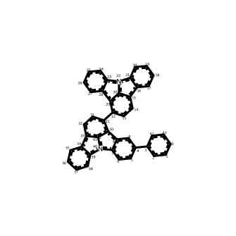 c1ccc(-c2ccc3c(c2)c2c(-c4ccc5c6ccccc6n6c7ccccc7c4c56)ccc4c5ccccc5n3c42)cc1